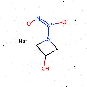 [Na+].[O-]/N=[N+](/[O-])N1CC(O)C1